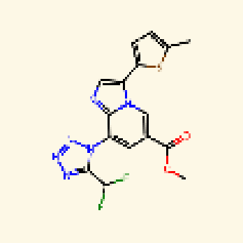 COC(=O)c1cc(-n2nnnc2C(F)F)c2ncc(-c3ccc(C)s3)n2c1